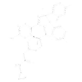 CCOc1cc(C(C)(C)C)ncc1C1=N[C@@](C)(c2ccc(Cl)cc2)[C@@](C)(c2ccc(Cl)cc2)N1C(=O)N1CCN(CC(=O)NC2CC2)CC1